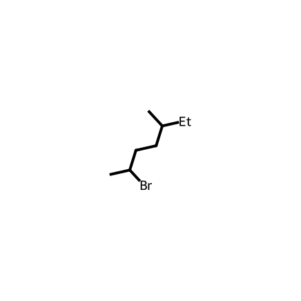 CCC(C)CCC(C)Br